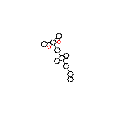 c1ccc2cc(-c3ccc(-c4c5ccccc5c(-c5ccc(-c6c7oc8ccccc8c7cc7c6oc6ccccc67)cc5)c5ccccc45)cc3)ccc2c1